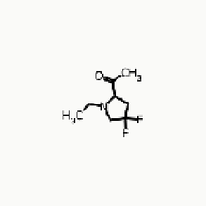 CCN1CC(F)(F)CC1C(C)=O